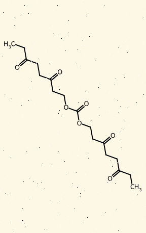 CCC(=O)CCC(=O)CCOC(=O)OCCC(=O)CCC(=O)CC